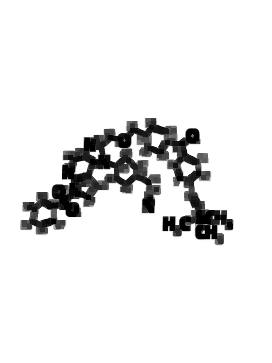 C[Si](C)(C)C#Cc1ccc(C(=O)c2ccc(COCc3nc4cnc5c(ccn5S(=O)(=O)c5ccccc5)c4n3C3CCC(CC#N)CC3)cc2)cc1